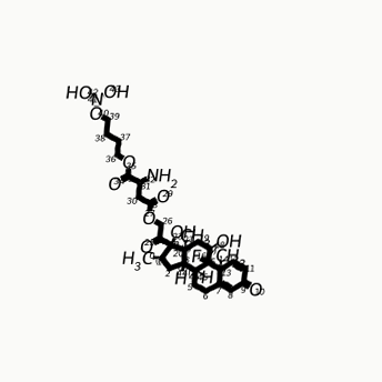 C[C@@H]1C[C@H]2[C@@H]3CCC4=CC(=O)C=C[C@]4(C)C3(F)[C@@H](O)C[C@]2(C)[C@@]1(O)C(=O)COC(=O)CC(N)C(=O)OCCCCON(O)O